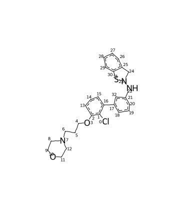 Clc1c(OCCCN2CCOCC2)cccc1-c1cccc(NN2Cc3ccccc3S2)c1